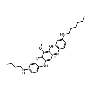 CCCCCCNc1ccc(/N=C2/C=C(Nc3ccc(NCCCC)cc3)C(=O)C(OC)=C2O)cc1